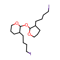 ICCCCC1CCCOC1OC1OCCCC1CCCCI